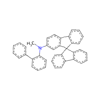 CN(c1ccc2c(c1)C1(c3ccccc3-c3ccccc31)c1ccccc1-2)c1ccccc1-c1ccccc1